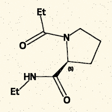 CCNC(=O)[C@@H]1CCCN1C(=O)CC